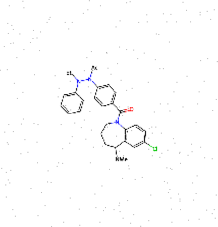 CCN(c1ccccc1)N(C(C)=O)c1ccc(C(=O)N2CCCC(NC)c3cc(Cl)ccc32)cc1